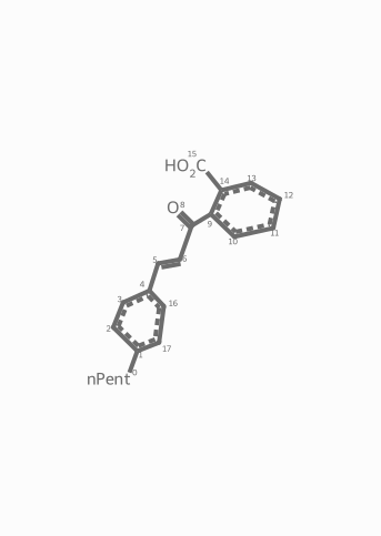 CCCCCc1ccc(/C=C/C(=O)c2ccccc2C(=O)O)cc1